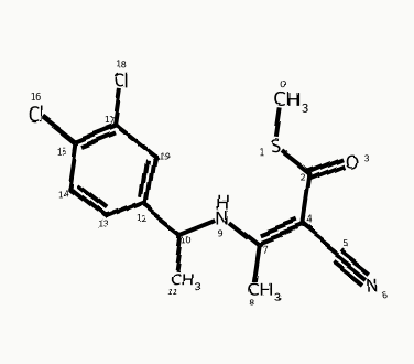 CSC(=O)C(C#N)=C(C)NC(C)c1ccc(Cl)c(Cl)c1